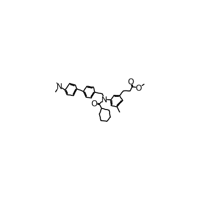 COC(=O)CCc1cc(C)cc(N(Cc2ccc(-c3ccc(N(C)C)cc3)cc2)C(=O)C2CCCCC2)c1